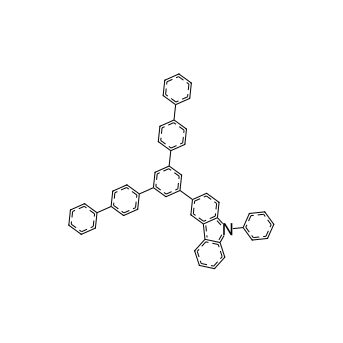 c1ccc(-c2ccc(-c3cc(-c4ccc(-c5ccccc5)cc4)cc(-c4ccc5c(c4)c4ccccc4n5-c4ccccc4)c3)cc2)cc1